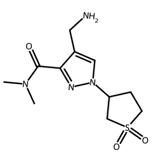 CN(C)C(=O)c1nn(C2CCS(=O)(=O)C2)cc1CN